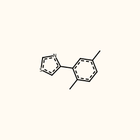 Cc1ccc(C)c(-c2cscn2)c1